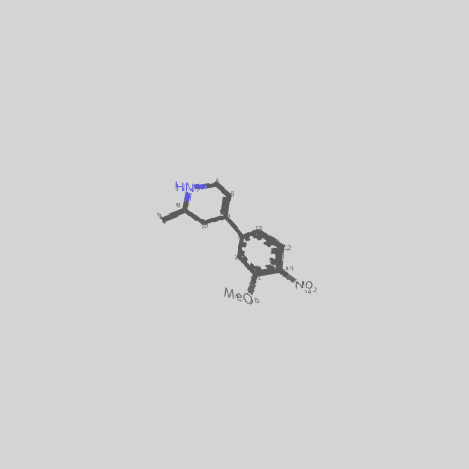 COc1cc(C2=CCNC(C)C2)ccc1[N+](=O)[O-]